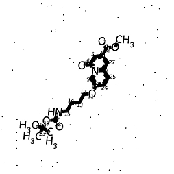 COC(=O)c1cc(=O)n2cc(OCCCCNC(=O)OC(C)(C)C)ccc2c1